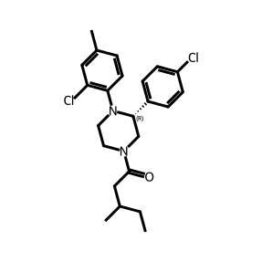 CCC(C)CC(=O)N1CCN(c2ccc(C)cc2Cl)[C@H](c2ccc(Cl)cc2)C1